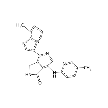 Cc1ccc(Nc2cnc(-c3cnc4c(C)cccn34)c3c2C(=O)NC3)nc1